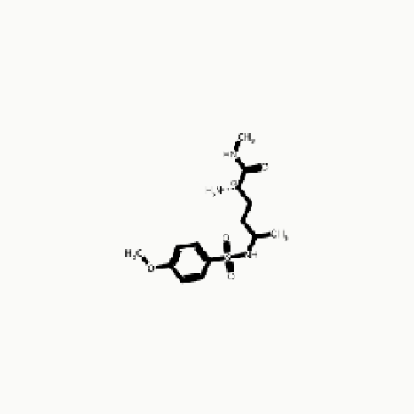 CNC(=O)[C@@H](N)CCC(C)NS(=O)(=O)c1ccc(OC)cc1